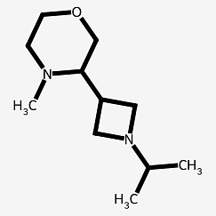 CC(C)N1CC(C2COCCN2C)C1